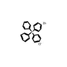 [Cl-].[Zn].c1ccc([P+](c2ccccc2)(c2ccccc2)c2ccccc2)cc1